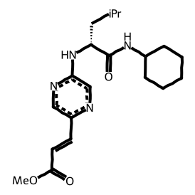 COC(=O)/C=C/c1cnc(N[C@H](CC(C)C)C(=O)NC2CCCCC2)cn1